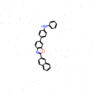 c1ccc(Nc2ccc(-c3ccc4nc(-c5ccc6ccccc6c5)oc4c3)cc2)cc1